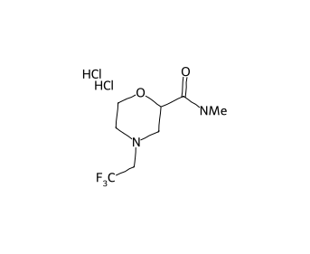 CNC(=O)C1CN(CC(F)(F)F)CCO1.Cl.Cl